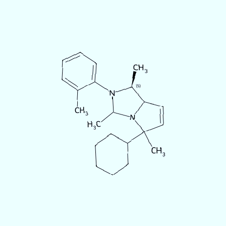 Cc1ccccc1N1C(C)N2C(C=CC2(C)C2CCCCC2)[C@@H]1C